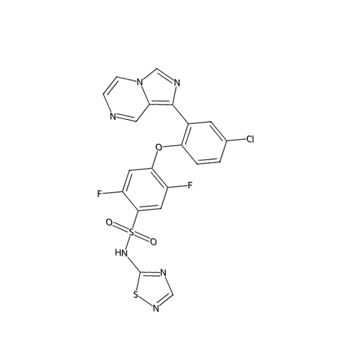 O=S(=O)(Nc1ncns1)c1cc(F)c(Oc2ccc(Cl)cc2-c2ncn3ccncc23)cc1F